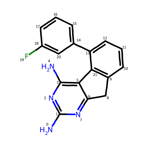 Nc1nc(N)c2c(n1)Cc1cccc(-c3cccc(F)c3)c1-2